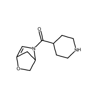 O=C(C1CCNCC1)N1C=C2CC1CO2